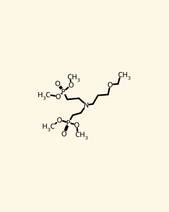 CCOCCCN(CCP(=O)(OC)OC)CCP(=O)(OC)OC